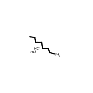 BCCCCCCC.Cl.Cl